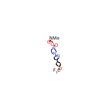 CNC(=O)COC(=O)N1CCCN(c2ccc(-c3ccc(OC(F)(F)F)cc3)cn2)CC1